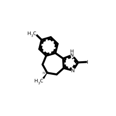 Cc1ccc2c(c1)C[C@H](C)Cc1nc(I)[nH]c1-2